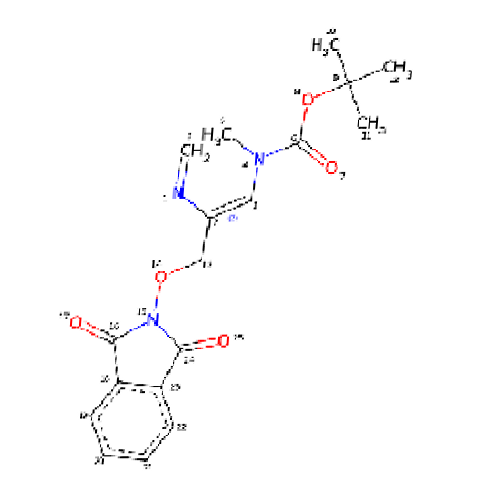 C=N/C(=C\N(C)C(=O)OC(C)(C)C)CON1C(=O)c2ccccc2C1=O